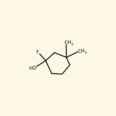 CC1(C)CCCC(O)(F)C1